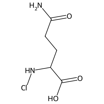 NC(=O)CCC(NCl)C(=O)O